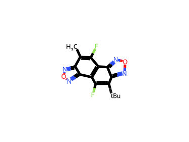 Cc1c(F)c2c3nonc3c(C(C)(C)C)c(F)c2c2nonc12